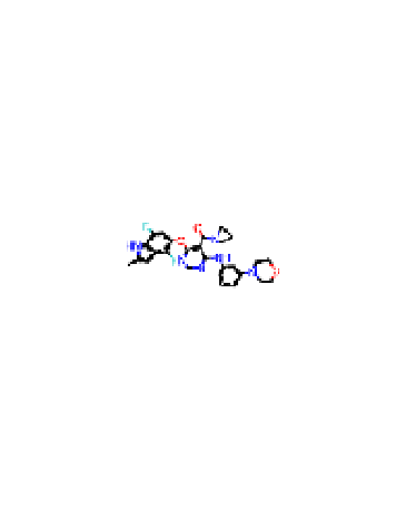 Cc1cc2c(F)c(Oc3ncnc(Nc4cccc(N5CCOCC5)c4)c3C(=O)N3CCC3)cc(F)c2[nH]1